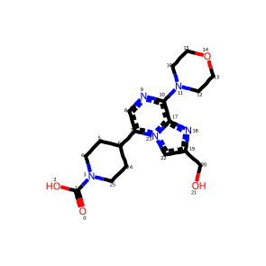 O=C(O)N1CCC(c2cnc(N3CCOCC3)c3nc(CO)cn23)CC1